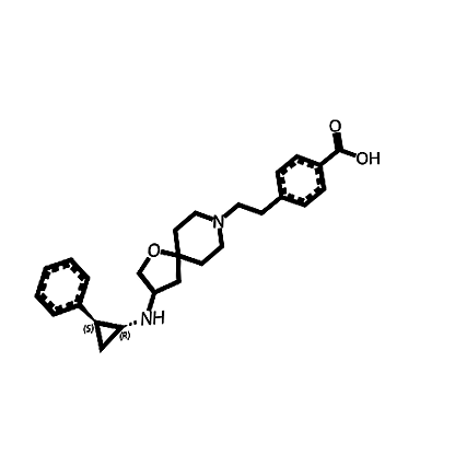 O=C(O)c1ccc(CCN2CCC3(CC2)CC(N[C@@H]2C[C@H]2c2ccccc2)CO3)cc1